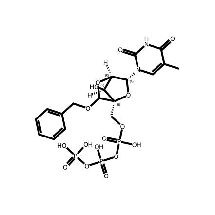 Cc1cn([C@@H]2O[C@@]3(COP(=O)(O)OP(=O)(O)OP(=O)(O)O)C(OCc4ccccc4)O[C@@H]2[C@@H]3O)c(=O)[nH]c1=O